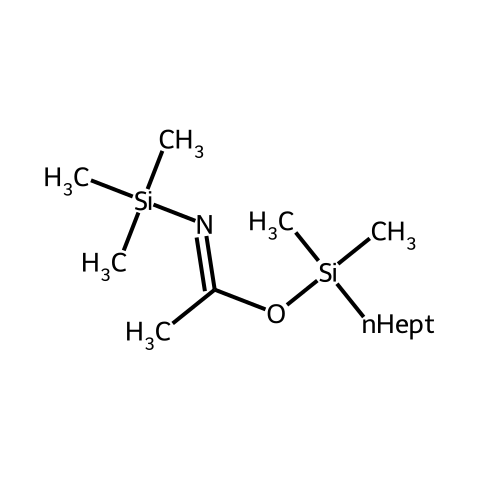 CCCCCCC[Si](C)(C)OC(C)=N[Si](C)(C)C